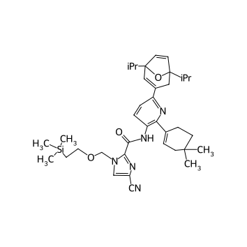 CC(C)C12C=CC(C(C)C)(CC(c3ccc(NC(=O)c4nc(C#N)cn4COCC[Si](C)(C)C)c(C4=CCC(C)(C)CC4)n3)=C1)O2